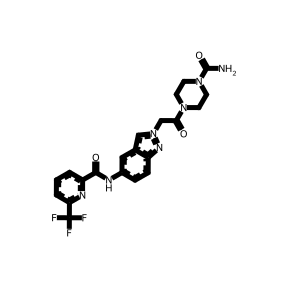 NC(=O)N1CCN(C(=O)Cn2cc3cc(NC(=O)c4cccc(C(F)(F)F)n4)ccc3n2)CC1